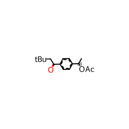 CC(=O)O[C@H](C)c1ccc(C(=O)CC(C)(C)C)cc1